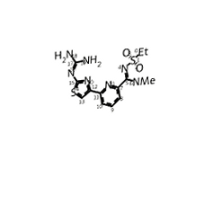 CCS(=O)(=O)N=C(NC)c1cccc(-c2csc(N=C(N)N)n2)n1